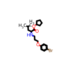 CC(C)CC(NCCCOc1ccc(Br)cc1)C(=O)OC1CCCC1